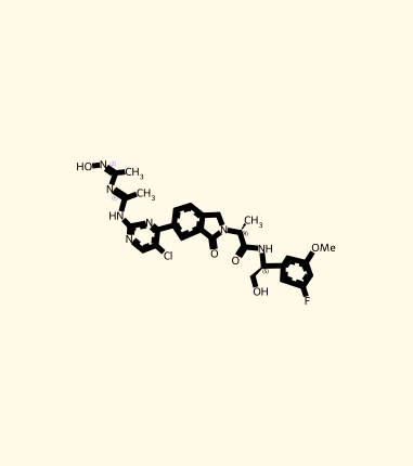 COc1cc(F)cc([C@@H](CO)NC(=O)[C@@H](C)N2Cc3ccc(-c4nc(N/C(C)=N/C(C)=N\O)ncc4Cl)cc3C2=O)c1